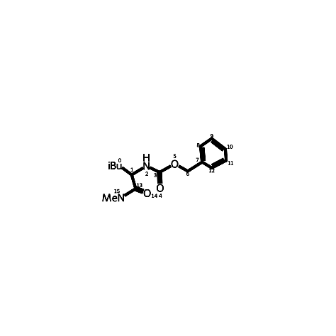 CCC(C)C(NC(=O)OCc1ccccc1)C(=O)NC